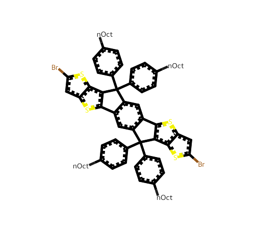 CCCCCCCCc1ccc(C2(c3ccc(CCCCCCCC)cc3)c3cc4c(cc3-c3sc5cc(Br)sc5c32)C(c2ccc(CCCCCCCC)cc2)(c2ccc(CCCCCCCC)cc2)c2c-4sc3cc(Br)sc23)cc1